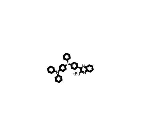 CC(C)(C)c1nc2ccccc2nc1-c1ccc(N(c2ccccc2)c2ccc(N(c3ccccc3)c3ccccc3)cc2)cc1